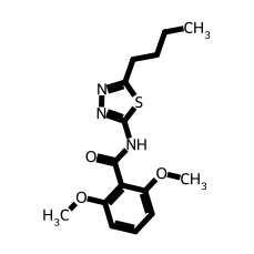 CCCCc1nnc(NC(=O)c2c(OC)cccc2OC)s1